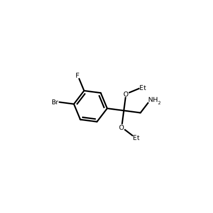 CCOC(CN)(OCC)c1ccc(Br)c(F)c1